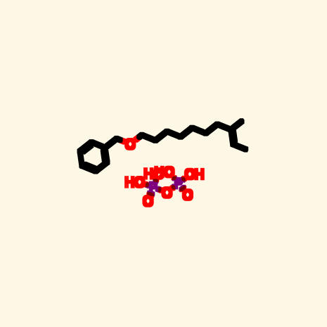 CC=C(C)CCCCCCCOCc1ccccc1.O=P(O)(O)OP(=O)(O)O